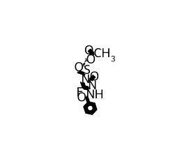 CC(=O)OC[C@H]1OC[C@@H](n2cc(F)c(NC(=O)c3ccccc3)nc2=O)S1